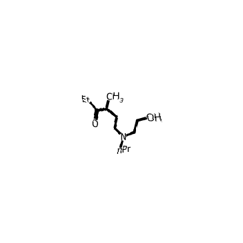 CCCN(CCO)CCC(C)C(=O)CC